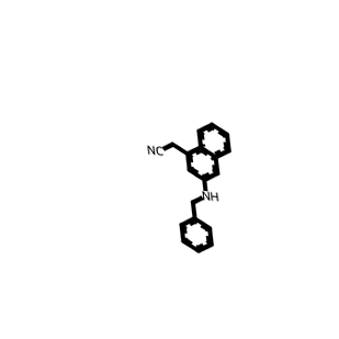 N#CCc1cc(NCc2ccccc2)cc2ccccc12